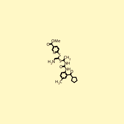 C=C(NC(=O)Nc1ccc(C)cc1C(=O)C1CCCC1)S/C(=C\N)Sc1ccc(C(=O)OC)cn1